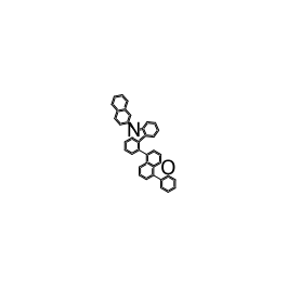 c1ccc2c(c1)Oc1ccc(-c3cccc4c3c3ccccc3n4-c3ccc4ccccc4c3)c3cccc-2c13